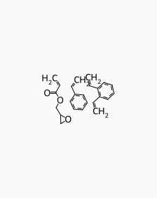 C=CC(=O)OCC1CO1.C=Cc1ccccc1.C=Cc1ccccc1C=C